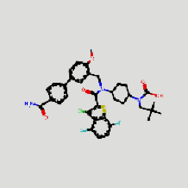 COc1ccc(-c2ccc(C(N)=O)cc2)cc1CN(C(=O)c1sc2c(F)ccc(F)c2c1Cl)C1CCC(N(CC(C)(C)C)C(=O)O)CC1